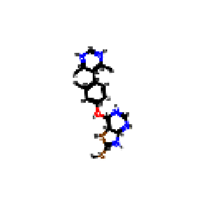 CSc1nc2ncnc(Oc3ccc(-c4c(C)ncnc4C)c(C)c3)c2s1